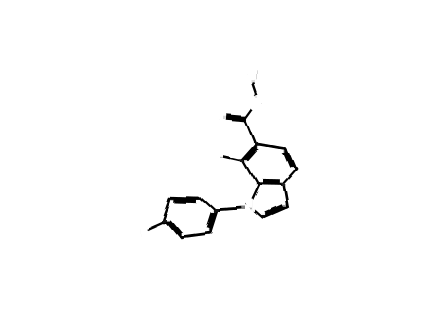 COC(=O)c1ccc2ccn(-c3ccc(F)cc3)c2c1Cl